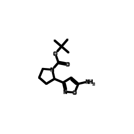 CC(C)(C)OC(=O)N1CCCC1c1cc(N)on1